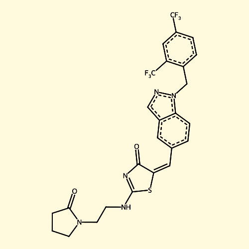 O=C1N=C(NCCN2CCCC2=O)SC1=Cc1ccc2c(cnn2Cc2ccc(C(F)(F)F)cc2C(F)(F)F)c1